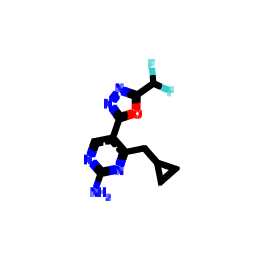 Nc1ncc(-c2nnc(C(F)F)o2)c(CC2CC2)n1